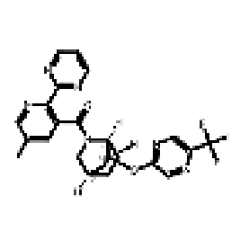 Cc1cnc(-c2ncccn2)c(C(=O)N2C[C@@H]3CC[C@H]2[C@H](Oc2cnc(C(F)(F)F)cn2)C3)c1